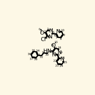 COc1cnc(-c2ccccn2)nc1Cl.COc1cnc(-c2ccccn2)nc1NCCCc1ccccc1